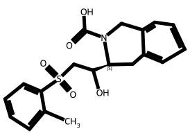 Cc1ccccc1S(=O)(=O)CC(O)[C@@H]1Cc2ccccc2CN1C(=O)O